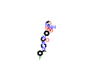 C[C@@H](c1cccc(F)c1)N1CCN([C@H]2CCN(c3ccc(S(=O)(=O)Nc4nccs4)cc3)C2=O)CC1